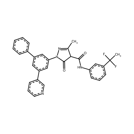 CC1=NN(c2cc(-c3ccccc3)cc(-c3cccnc3)c2)C(=O)C1C(=O)Nc1cccc(C(C)(F)F)c1